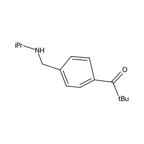 CC(C)NCc1ccc(C(=O)C(C)(C)C)cc1